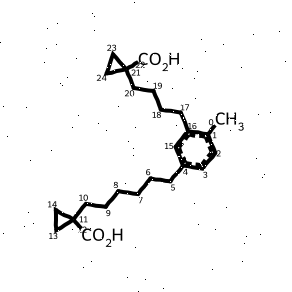 Cc1ccc(CCCCCCC2(C(=O)O)CC2)cc1CCCCC1(C(=O)O)CC1